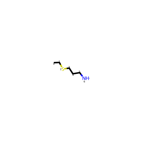 CCSCCC[NH]